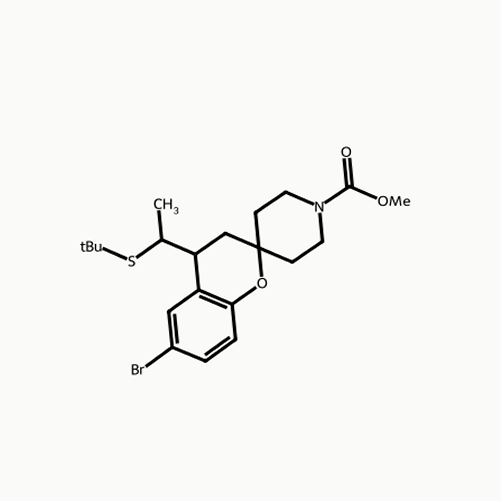 COC(=O)N1CCC2(CC1)CC(C(C)SC(C)(C)C)c1cc(Br)ccc1O2